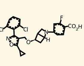 O=C(O)c1ccc(N2CC3[C@H]2C[C@H]3OCc2c(-c3c(Cl)cccc3Cl)noc2C2CC2)cc1F